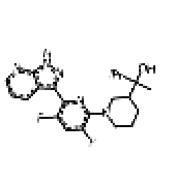 CC(C)C(C)(O)C1CCCN(c2nc(-c3n[nH]c4ncccc34)c(F)cc2F)C1